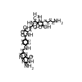 C[C@H](NC(=O)CC[C@@H](NC(=O)c1ccc(NCc2cnc3nc(N)[nH]c(=O)c3n2)cc1)C(=O)O)C(=O)N[C@H](CCCCN)C(=O)O